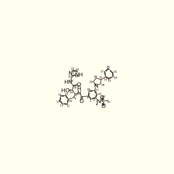 CN(c1cc(C(=O)N[C@@H](Cc2ccccc2)[C@@H](O)C(=O)Nc2ncc[nH]2)cc(N2CCC(c3ccccc3)C2)c1)S(C)(=O)=O